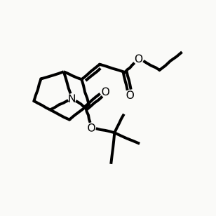 CCOC(=O)C=C1CCC2CCC1N2C(=O)OC(C)(C)C